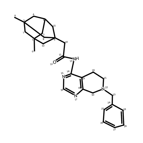 CC12CC3CC(C)(C1)CC(CC(=O)Nc1ncnc4c1CCN(Cc1ccccc1)C4)(C3)C2